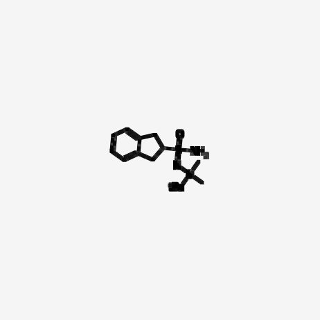 CC(C)(C)[Si](C)(C)N=S(N)(=O)C1Cc2ccccc2C1